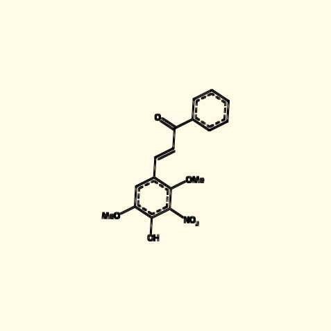 COc1cc(C=CC(=O)c2ccccc2)c(OC)c([N+](=O)[O-])c1O